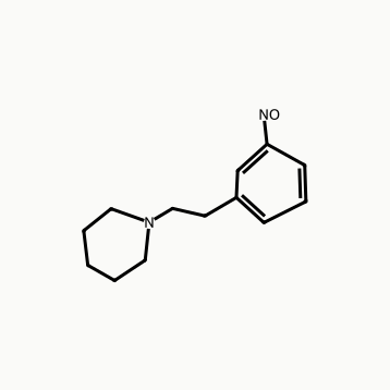 O=Nc1cccc(CCN2CCCCC2)c1